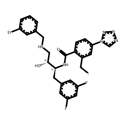 CCc1cccc(CNC[C@@H](O)[C@H](Cc2cc(F)cc(F)c2)NC(=O)c2ccc(-n3cnnn3)cc2CI)c1